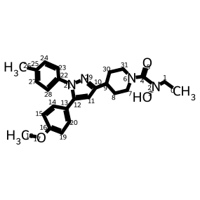 CCN(O)C(=O)N1CCC(c2cc(-c3ccc(OC)cc3)n(-c3ccc(C)cc3)n2)CC1